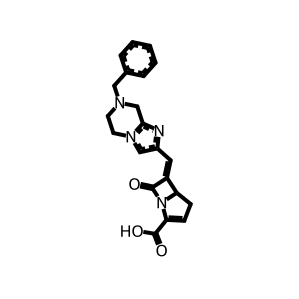 O=C(O)C1=CCC2C(=Cc3cn4c(n3)CN(Cc3ccccc3)CC4)C(=O)N12